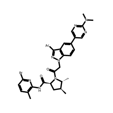 CC(=O)c1nn(CC(=O)N2[C@H](C)[C@@H](C)C[C@H]2C(=O)Nc2nc(Br)ccc2C)c2ccc(-c3cnc(N(C)C)nc3)cc12